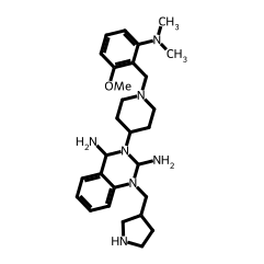 COc1cccc(N(C)C)c1CN1CCC(N2C(N)c3ccccc3N(CC3CCNC3)C2N)CC1